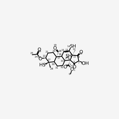 COC(=O)[C@@]12C(=O)[C@H](O)C(=O)[C@]1(C)C(S)=CC1[C@]3(C=O)CC[C@H](OC(C)=O)[C@@](C)(S)C3CC[C@@]12S